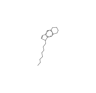 CCCCCCCC[C]1C=Cc2cc3c(cc21)CCCC3